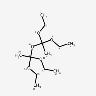 CCOC(C)(OCC)OC(C)(OCC)OCC